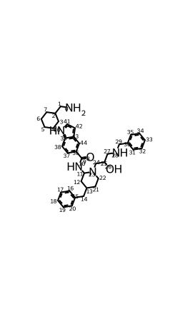 NCC1CCCCC1.O=C(NC1CC(Cc2ccccc2)CCN1CC(O)CNCc1ccccc1)c1ccc2[nH]ccc2c1